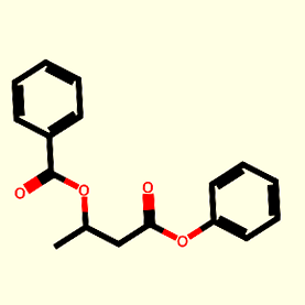 CC(CC(=O)Oc1ccccc1)OC(=O)c1ccccc1